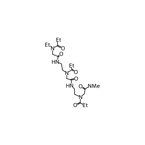 CCC(=O)N(CCNC(=O)CN(CCNC(=O)CN(CC)C(=O)CC)C(=O)CC)CC(=O)NC